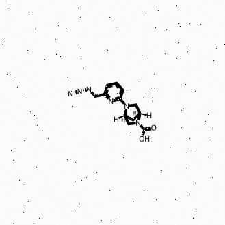 [N-]=[N+]=NCc1cccc(N2C[C@H]3C[C@@H]2CN3C(=O)O)n1